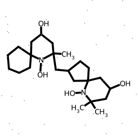 CC1(C)CC(O)CC2(CCC(CC3(C)CC(O)CC4(CCCCC4)N3O)C2)N1O